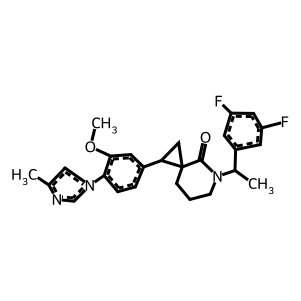 COc1cc(C2CC23CCCN(C(C)c2cc(F)cc(F)c2)C3=O)ccc1-n1cnc(C)c1